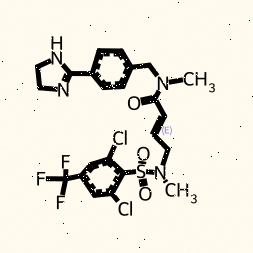 CN(Cc1ccc(C2=NCCN2)cc1)C(=O)/C=C/CN(C)S(=O)(=O)c1c(Cl)cc(C(F)(F)F)cc1Cl